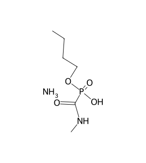 CCCCOP(=O)(O)C(=O)NC.N